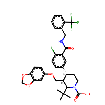 CC(C)(C)C1[C@@H](COc2ccc3c(c2)OCO3)[C@H](c2ccc(F)c(C(=O)NCc3ccccc3C(F)(F)F)c2)CCN1C(=O)O